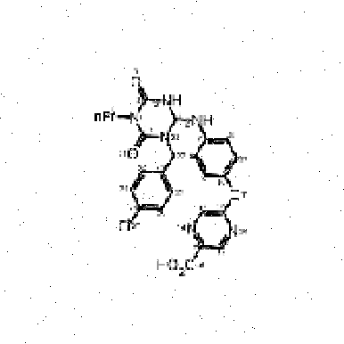 CCCN1C(=O)NC(Nc2ccc(Oc3cnc(C(=O)O)cn3)cc2)N(Cc2ccc(Cl)cc2)C1=O